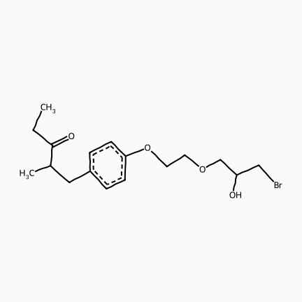 CCC(=O)C(C)Cc1ccc(OCCOCC(O)CBr)cc1